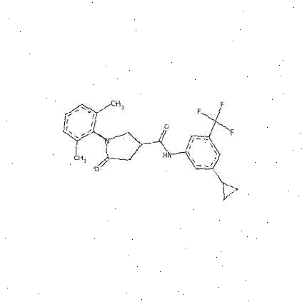 Cc1cccc(C)c1N1CC(C(=O)Nc2cc(C3CC3)cc(C(F)(F)F)c2)CC1=O